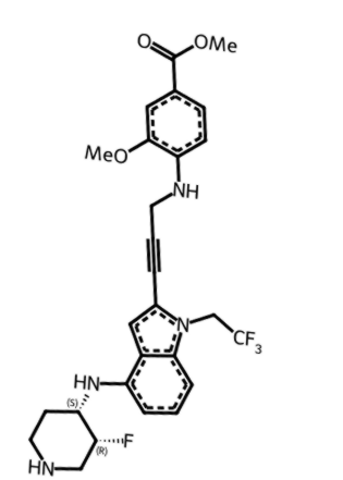 COC(=O)c1ccc(NCC#Cc2cc3c(N[C@H]4CCNC[C@H]4F)cccc3n2CC(F)(F)F)c(OC)c1